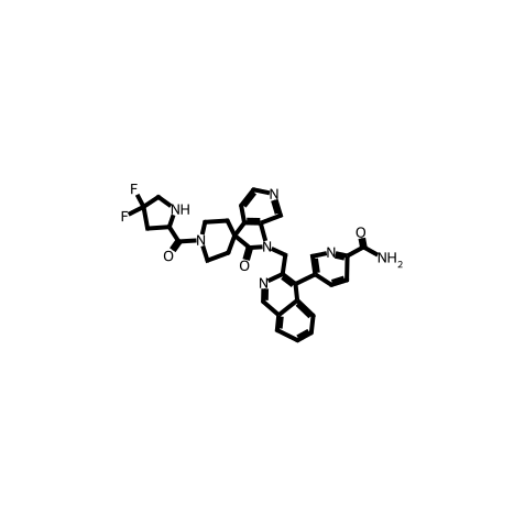 NC(=O)c1ccc(-c2c(CN3C(=O)C4(CCN(C(=O)C5CC(F)(F)CN5)CC4)c4ccncc43)ncc3ccccc23)cn1